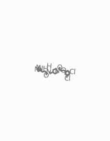 O=C(CCc1cnn[nH]1)NCC1CCN(C(=O)COc2cc(Cl)cc(Cl)c2)CC1